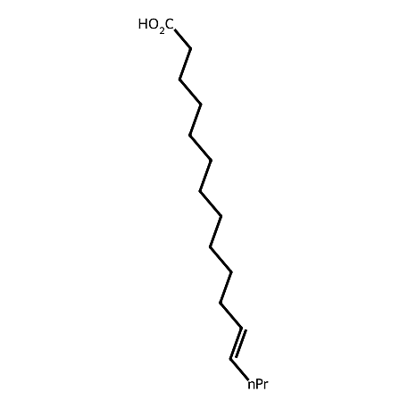 CCCC=CCCCCCCCCCCC(=O)O